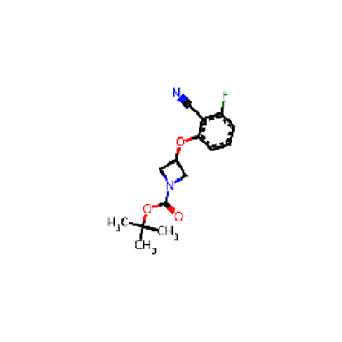 CC(C)(C)OC(=O)N1CC(Oc2cccc(F)c2C#N)C1